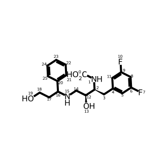 O=C(O)N[C@@H](Cc1cc(F)cc(F)c1)[C@@H](O)CNC(CCO)c1ccccc1